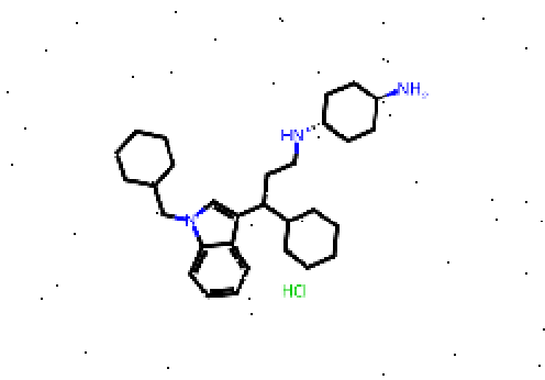 Cl.N[C@H]1CC[C@H](NCCC(c2cn(CC3CCCCC3)c3ccccc23)C2CCCCC2)CC1